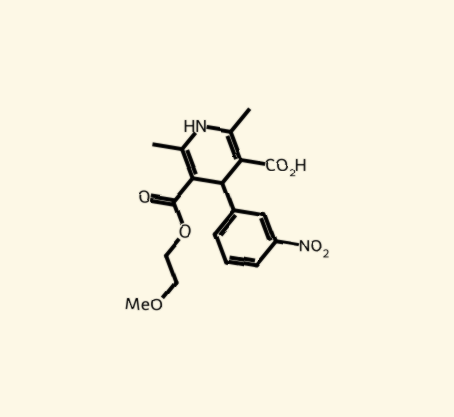 COCCOC(=O)C1=C(C)NC(C)=C(C(=O)O)C1c1cccc([N+](=O)[O-])c1